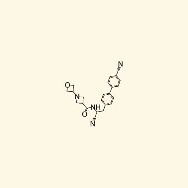 N#Cc1ccc(-c2ccc(CC(C#N)NC(=O)C3CN(C4COC4)C3)cc2)cc1